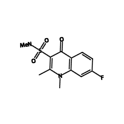 CNS(=O)(=O)c1c(C)n(C)c2cc(F)ccc2c1=O